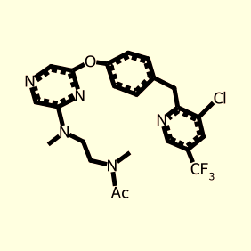 CC(=O)N(C)CCN(C)c1cncc(Oc2ccc(Cc3ncc(C(F)(F)F)cc3Cl)cc2)n1